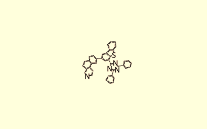 c1ccc(-c2nc(-c3ccccc3)nc(-c3cc(-c4ccc5ccc6cnccc6c5c4)cc4c3sc3ccccc34)n2)cc1